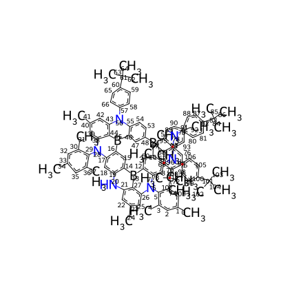 Cc1cc(C)c(N2c3cc4c(cc3B3c5cc6c(cc5Nc5cc(C)cc2c53)N(c2c(C)cc(C)cc2C)c2cc(C)cc3c2B6c2cc(C(C)(C)C)ccc2N3c2ccc(C(C)(C)C)cc2)B2c3cc(C(C)(C)C)ccc3N(c3ccc(C(C)(C)C)cc3)c3cc(C)cc(c32)N4c2ccc(C(C)(C)C)cc2)c(C)c1